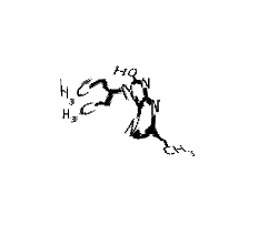 CCc1cnc2c(n1)nc(O)n2C(CC)CC